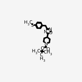 CSc1ccc(Cc2noc(C3CCN(C(=O)OC(C)(C)C)CC3)n2)cc1